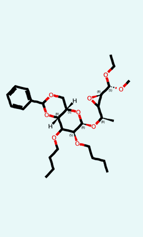 CCCCOC1[C@H](OCCCC)[C@H](O[C@H](C)C2O[C@H]2[C@@H](OC)OCC)O[C@H]2COC(c3ccccc3)O[C@@H]12